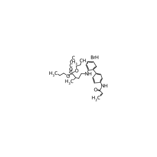 Br.C=CC(=O)Nc1ccc(-c2ccccc2NCCC(C)[Si](OCCC)(OCCC)OCCC)cc1